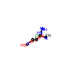 Cc1c(COc2cc(OCc3cncc(C#N)c3)c(CNCCc3ncn[nH]3)cc2Cl)cccc1-c1cccc(OCCCN2CCC(O)C2)c1C